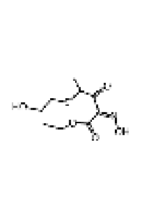 CCOC(=O)/C(=N\O)C(=O)C(C)SCCO